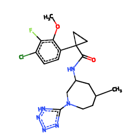 COc1c(C2(C(=O)NC3CC(C)CCN(c4nnn[nH]4)C3)CC2)ccc(Cl)c1F